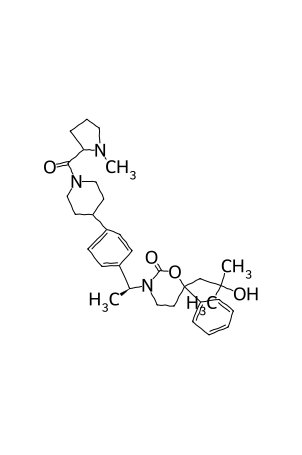 C[C@@H](c1ccc(C2CCN(C(=O)C3CCCN3C)CC2)cc1)N1CCC(CC(C)(C)O)(c2ccccc2)OC1=O